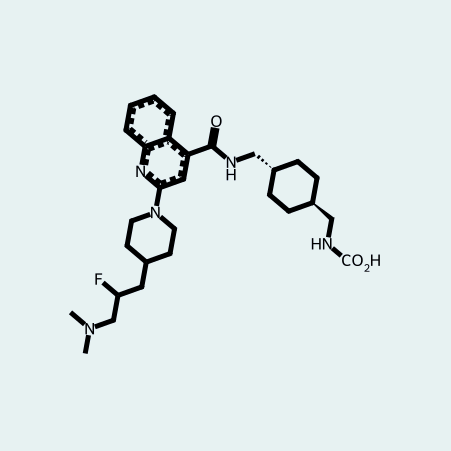 CN(C)CC(F)CC1CCN(c2cc(C(=O)NC[C@H]3CC[C@H](CNC(=O)O)CC3)c3ccccc3n2)CC1